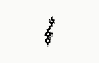 Cc1ccc(CC/C=C/C2=CC=C(C3CCC(C)CC3)C(F)(F)C2(F)F)cn1